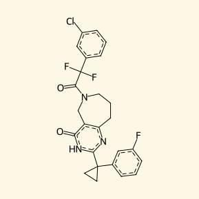 O=C(N1CCCc2nc(C3(c4cccc(F)c4)CC3)[nH]c(=O)c2C1)C(F)(F)c1cccc(Cl)c1